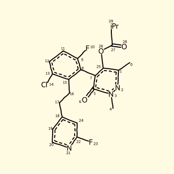 Cc1nn(C)c(=O)c(-c2c(F)ccc(Cl)c2CCc2ccnc(F)c2)c1OC(=O)C(C)C